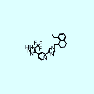 CCc1cccc2c1C(Cn1cnc(-c3cc(-c4nn[nH]c4C(F)(F)F)ccn3)c1)CCC2